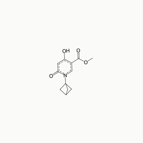 COC(=O)c1cn(C23CC(C2)C3)c(=O)cc1O